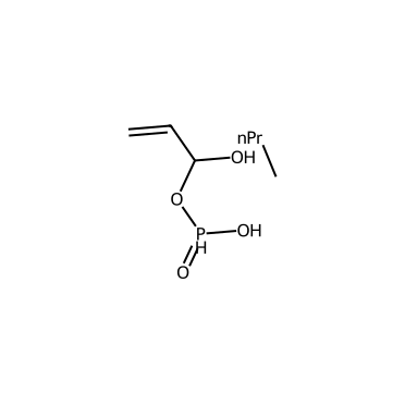 C=CC(O)O[PH](=O)O.CCCC